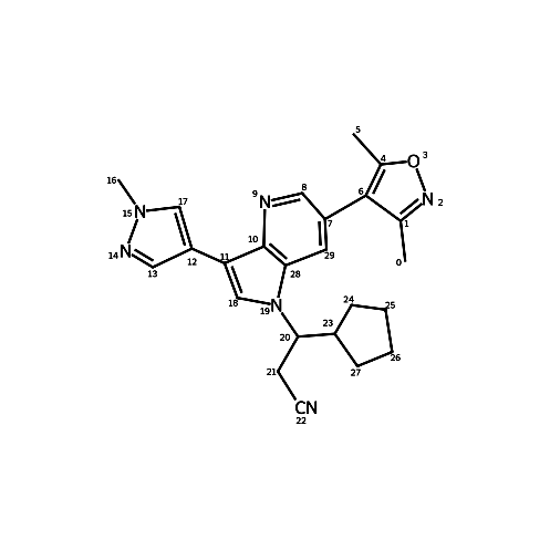 Cc1noc(C)c1-c1cnc2c(-c3cnn(C)c3)cn(C(CC#N)C3CCCC3)c2c1